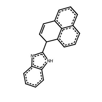 C1=CC(c2nc3ccccc3[nH]2)c2cccc3cccc1c23